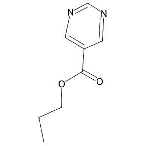 CCCOC(=O)c1cncnc1